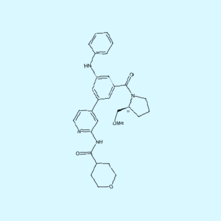 COC[C@@H]1CCCN1C(=O)c1cc(Nc2ccccc2)cc(-c2ccnc(NC(=O)C3CCOCC3)c2)c1